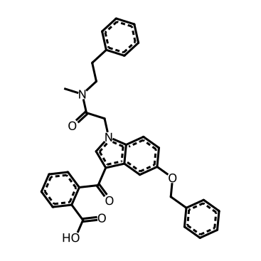 CN(CCc1ccccc1)C(=O)Cn1cc(C(=O)c2ccccc2C(=O)O)c2cc(OCc3ccccc3)ccc21